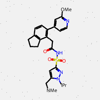 CNCc1cc(S(=O)(=O)NC(=O)Cc2c(-c3ccnc(OC)c3)ccc3c2CCC3)nn1C(C)C